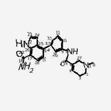 CN1CCC=C(C(=O)Nc2cccc(-c3ccc(C(N)=O)c4[nH]ccc34)c2)C1